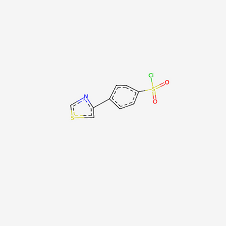 O=S(=O)(Cl)c1ccc(-c2cscn2)cc1